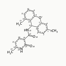 Cc1ccc2c(c1)Oc1cccc(C)c1C2NC(=O)c1ccc(C)[nH]c1=O